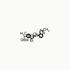 CCC(CC(O)(/C=N/c1cccc2nc(C)ncc12)C(F)(F)F)c1ccc(C)c(F)c1OC